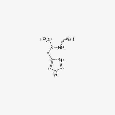 CCCCCNC(Cc1c[nH]cn1)C(=O)O